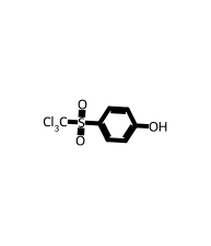 O=S(=O)(c1ccc(O)cc1)C(Cl)(Cl)Cl